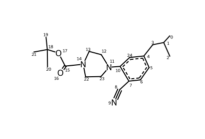 CC(C)Cc1ccc(C#N)c(N2CCN(C(=O)OC(C)(C)C)CC2)c1